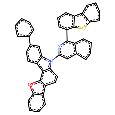 c1ccc(-c2ccc3c4c5oc6ccccc6c5ccc4n(-c4cc5ccccc5c(-c5cccc6c5sc5ccccc56)n4)c3c2)cc1